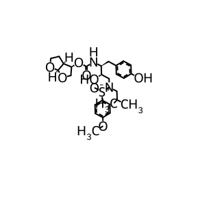 COc1ccc([S+]([O-])N(CC(C)C)C[C@@H](O)[C@H](Cc2ccc(O)cc2)NC(=O)O[C@H]2CO[C@H]3OCC[C@H]32)cc1